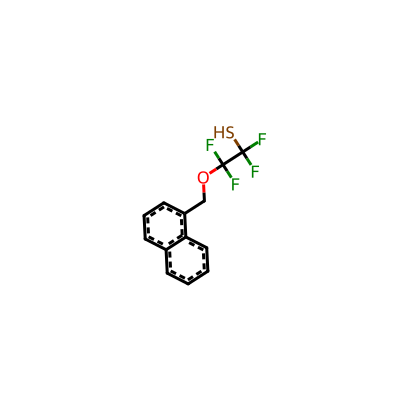 FC(F)(S)C(F)(F)OCc1cccc2ccccc12